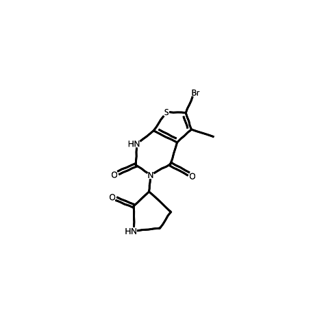 Cc1c(Br)sc2[nH]c(=O)n(C3CCNC3=O)c(=O)c12